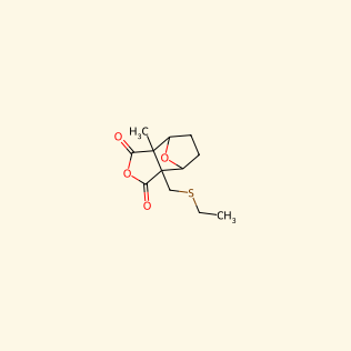 CCSCC12C(=O)OC(=O)C1(C)C1CCC2O1